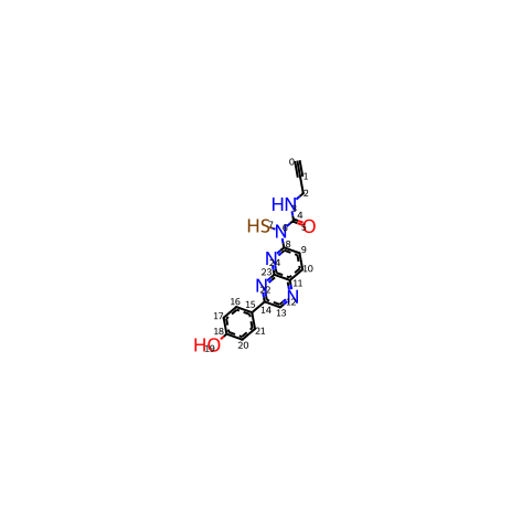 C#CCNC(=O)N(S)c1ccc2ncc(-c3ccc(O)cc3)nc2n1